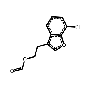 O=[C]OCCc1coc2c(Cl)cccc12